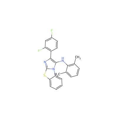 Cc1cccc(C)c1Nc1c(-c2ccc(F)cc2F)nc2sc3ccccc3n12